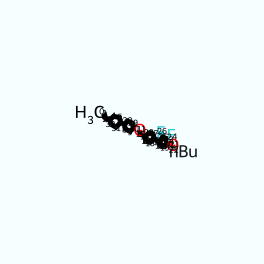 C/C=C/C1CCC(C2CCC(OCC3CC=C(c4ccc(OCCCC)c(F)c4F)CC3)CC2)CC1